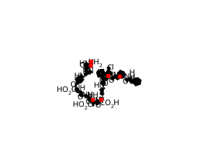 Nc1nc2ncc(CNc3ccc(C(=O)N[C@H](CCC(=O)NC[C@H](N)C(=O)NC(CC(=O)O)C(=O)N[C@@H](CSSCCNC(=O)Oc4cc5c(c6ccccc46)[C@@H](CCl)CN5C(=O)c4cc5cc(NC(=O)c6cc7ccccc7[nH]6)ccc5[nH]4)C(=O)O)C(=O)O)cc3)nc2c(=O)[nH]1